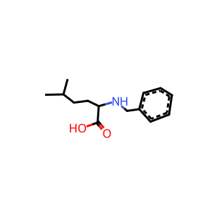 CC(C)CCC(NCc1ccccc1)C(=O)O